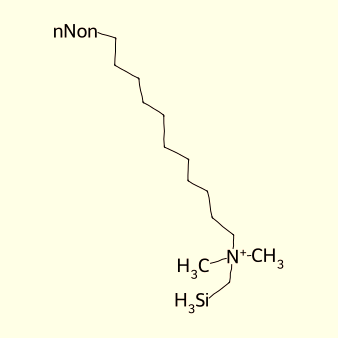 CCCCCCCCCCCCCCCCCCCC[N+](C)(C)C[SiH3]